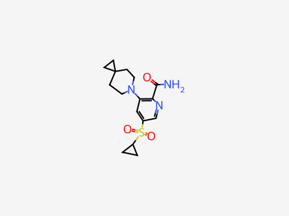 NC(=O)c1ncc(S(=O)(=O)C2CC2)cc1N1CCC2(CC1)CC2